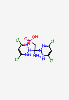 NC(CP(=O)(O)O)(N1N=C(Cl)C=C(Cl)N1)N1N=C(Cl)C=C(Cl)N1